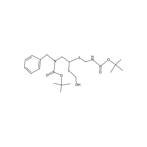 CC(C)(C)OC(=O)NCSC(CN(Cc1ccccc1)C(=O)OC(C)(C)C)SCO